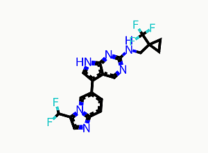 FC(F)c1cnc2ccc(-c3c[nH]c4nc(NCC5(C(F)(F)F)CC5)ncc34)cn12